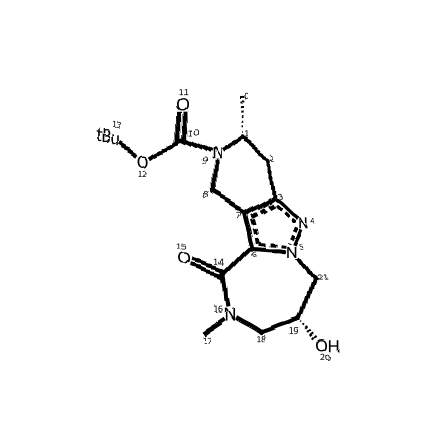 C[C@@H]1Cc2nn3c(c2CN1C(=O)OC(C)(C)C)C(=O)N(C)C[C@@H](O)C3